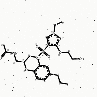 CCCc1ccc2c(c1)N(S(=O)(=O)c1cn(CC)nc1OCCO)C[C@H](CNC(C)=O)O2